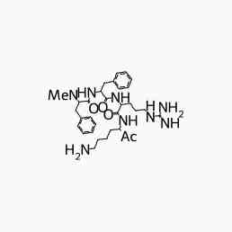 CNC(Cc1ccccc1)C(=O)NC(Cc1ccccc1)C(=O)NC(CCCNC(=N)N)C(=O)NC(CCCCN)C(C)=O